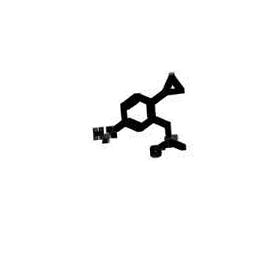 C[S+]([O-])Cc1cc(N)ccc1C1[CH]C1